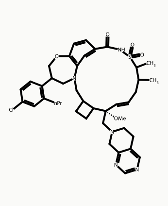 CCCc1cc(Cl)ccc1C1COc2ccc3cc2N(C1)CC1CCC1[C@@](CN1CCc2cncnc2C1)(OC)/C=C/CC(C)C(C)S(=O)(=O)NC3=O